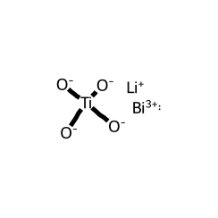 [Bi+3].[Li+].[O-][Ti]([O-])([O-])[O-]